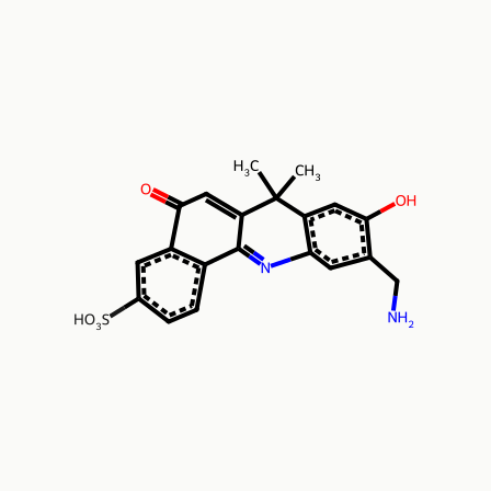 CC1(C)C2=CC(=O)c3cc(S(=O)(=O)O)ccc3C2=Nc2cc(CN)c(O)cc21